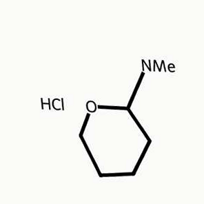 CNC1CCCCO1.Cl